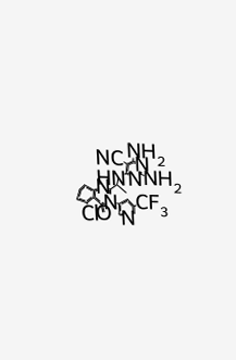 CC(Nc1nc(N)nc(N)c1C#N)c1nc2cccc(Cl)c2c(=O)n1-c1cncc(C(F)(F)F)c1